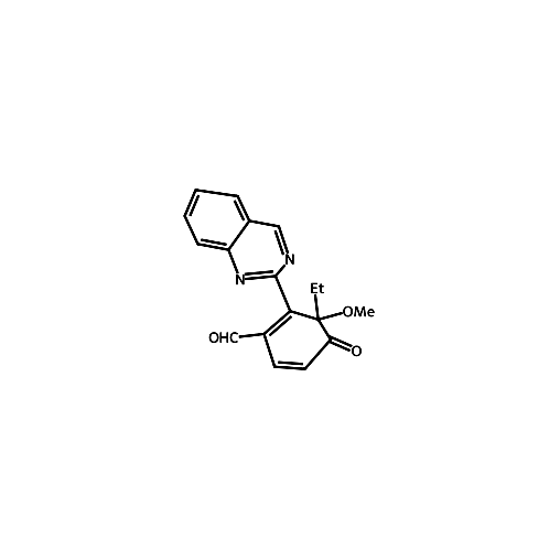 CCC1(OC)C(=O)C=CC(C=O)=C1c1ncc2ccccc2n1